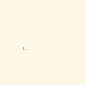 C=CCOc1ccc(F)cc1C(C)(C)CC(O)(Cc1ccccn1)C(F)(F)F